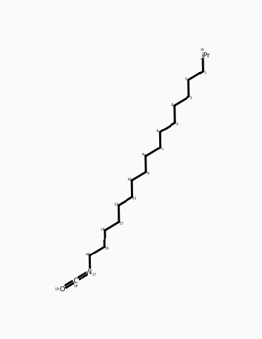 CC(C)CCCCCCCCCCCCCCCCN=C=O